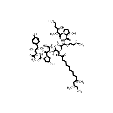 CC[C@H](C)C[C@H](C)CCCCCCCCC(=O)N[C@@H](C[C@@H](O)[C@H](NC(=O)[C@@H]1[C@@H](O)CCN1C(=O)[C@@H](C)[C@H](O)CCN)OCCNC)C(=O)N[C@H](C(=O)N1C[C@H](O)C[C@H]1C(=O)N[C@H](C(C)=O)[C@H](O)[C@@H](O)c1ccc(O)cc1)[C@@H](C)O